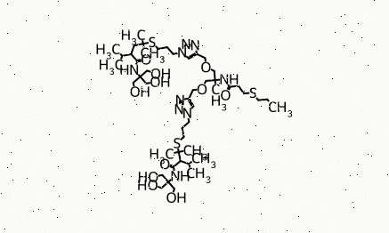 CCCSCCC(=O)NC(C)(COCc1cn(CCCSC(C)(C)CC(C(=O)NC(CO)(CO)CO)C(C)C)nn1)COCc1cn(CCCSC(C)(C)C(C(=O)NC(CO)(CO)CO)C(C)C)nn1